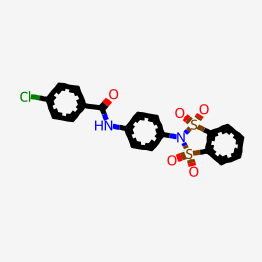 O=C(Nc1ccc(N2S(=O)(=O)c3ccccc3S2(=O)=O)cc1)c1ccc(Cl)cc1